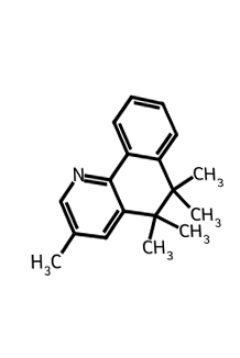 Cc1cnc2c(c1)C(C)(C)C(C)(C)c1ccccc1-2